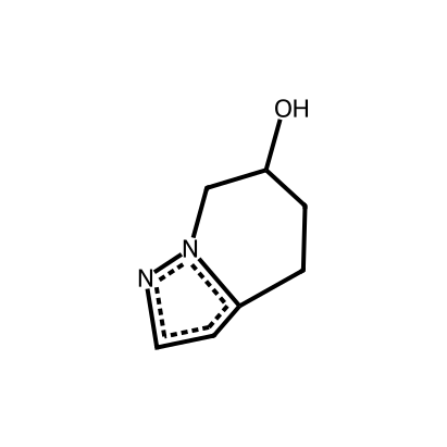 OC1CCc2ccnn2C1